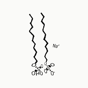 CCCCCCCCCCCCOS(=O)(=O)O.CCCCCCCCCCCCOS(=O)(=O)[O-].[Na+]